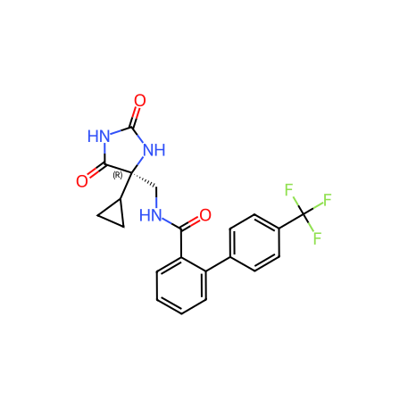 O=C1NC(=O)[C@](CNC(=O)c2ccccc2-c2ccc(C(F)(F)F)cc2)(C2CC2)N1